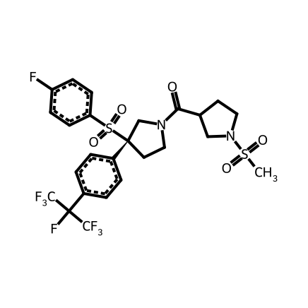 CS(=O)(=O)N1CCC(C(=O)N2CC[C@](c3ccc(C(F)(C(F)(F)F)C(F)(F)F)cc3)(S(=O)(=O)c3ccc(F)cc3)C2)C1